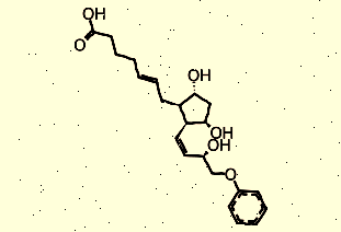 O=C(O)CCCC=CC[C@@H]1[C@H](/C=C\[C@@H](O)COc2ccccc2)[C@H](O)C[C@H]1O